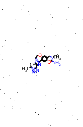 CC(C)n1ncnc1-c1cn2c(n1)-c1ccc(CN(C)C(N)=O)cc1OCC2